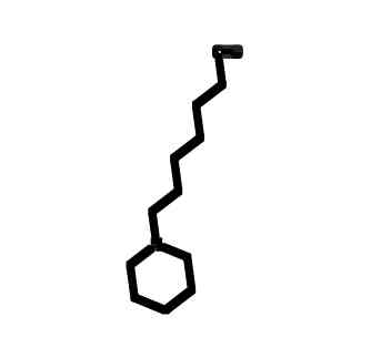 O=CCCCCCCN1CCCCC1